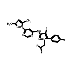 CCc1c(Nc2cc(-n3nc(C)cc3C)ncn2)nn(CC(F)F)c1-c1ccc(F)cc1